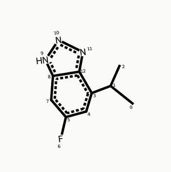 CC(C)c1cc(F)cc2[nH]nnc12